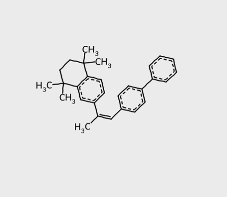 C/C(=C/c1ccc(-c2ccccc2)cc1)c1ccc2c(c1)C(C)(C)CCC2(C)C